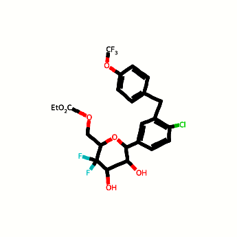 CCOC(=O)OCC1OC(c2ccc(Cl)c(Cc3ccc(OC(F)(F)F)cc3)c2)C(O)C(O)C1(F)F